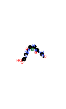 COc1nc(-c2ccnc(-c3cccc(NC(=O)c4nc5c(n4C)CCN(CC4CCC(C(=O)O)CC4)C5)c3Cl)c2Cl)ccc1CNC1CCN(C(C)=O)CC1